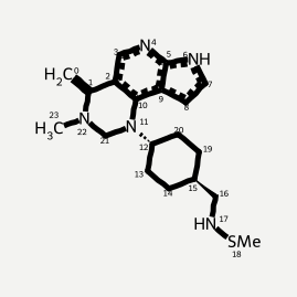 C=C1c2cnc3[nH]ccc3c2N([C@H]2CC[C@H](CNSC)CC2)CN1C